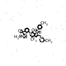 Cc1ccc(S(=O)(=O)n2c(CN3CCC[C@H](C)C3)cc3c(C(F)(F)F)cn(-c4cccc(C5(c6nncn6C)COC5)c4)c(=O)c32)cc1